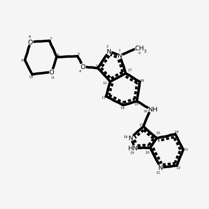 Cn1nc(OCC2COCCO2)c2ccc(Nc3n[nH]c4ncccc34)cc21